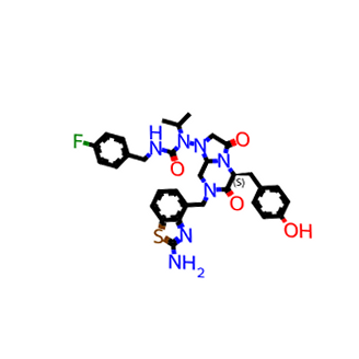 CC(C)N(C(=O)NCc1ccc(F)cc1)N1CC(=O)N2C1CN(Cc1cccc3sc(N)nc13)C(=O)[C@@H]2Cc1ccc(O)cc1